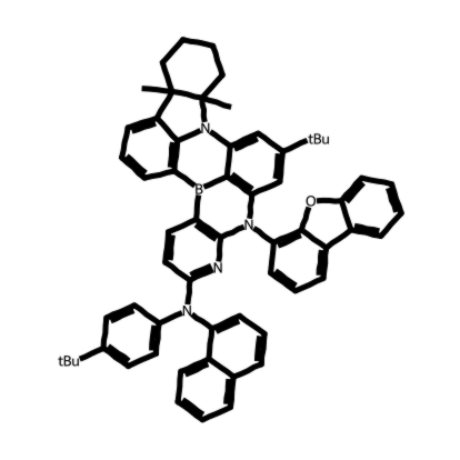 CC(C)(C)c1ccc(N(c2ccc3c(n2)N(c2cccc4c2oc2ccccc24)c2cc(C(C)(C)C)cc4c2B3c2cccc3c2N4C2(C)CCCCC32C)c2cccc3ccccc23)cc1